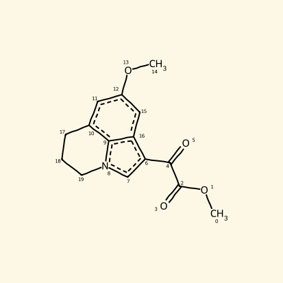 COC(=O)C(=O)c1cn2c3c(cc(OC)cc13)CCC2